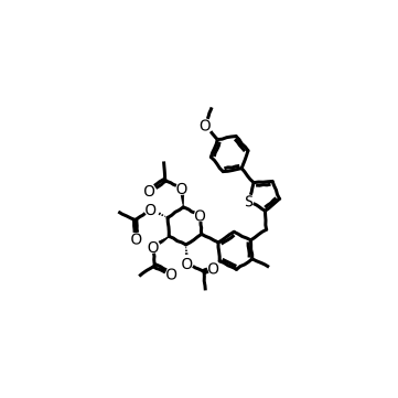 COc1ccc(-c2ccc(Cc3cc(C4O[C@H](OC(C)=O)[C@@H](OC(C)=O)[C@H](OC(C)=O)[C@H]4OC(C)=O)ccc3C)s2)cc1